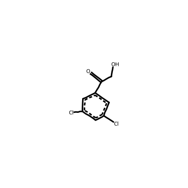 O=C(CO)c1cc(Cl)cc(Cl)c1